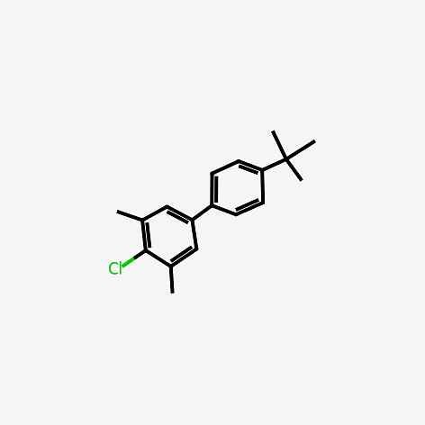 Cc1cc(-c2ccc(C(C)(C)C)cc2)cc(C)c1Cl